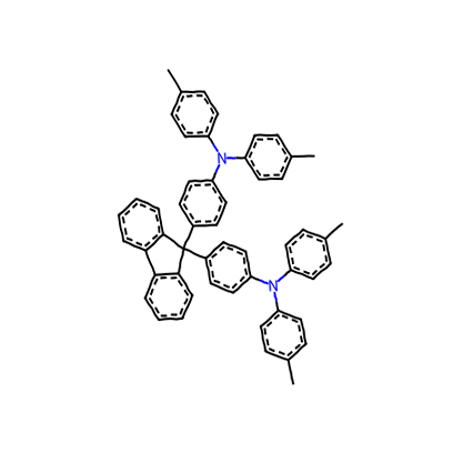 Cc1ccc(N(c2ccc(C)cc2)c2ccc(C3(c4ccc(N(c5ccc(C)cc5)c5ccc(C)cc5)cc4)c4ccccc4-c4ccccc43)cc2)cc1